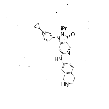 CC(C)n1c(=O)c2cnc(Nc3ccc4c(c3)CNCC4)cc2n1-c1ccn(C2CC2)c1